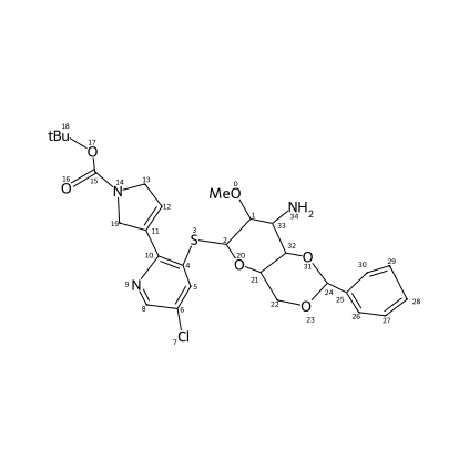 COC1C(Sc2cc(Cl)cnc2C2=CCN(C(=O)OC(C)(C)C)C2)OC2COC(c3ccccc3)OC2C1N